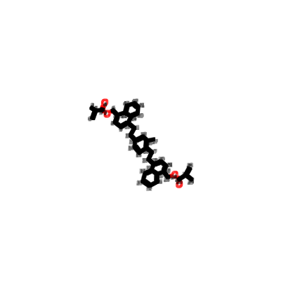 C=C(C)C(=O)OCc1ccc(CCc2ccc(CCc3ccc(COC(=O)C(=C)C)c4ccccc34)c(C)c2)c2ccccc12